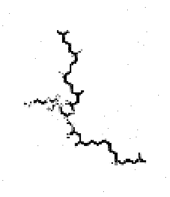 CC(C)CCC[C@@H](C)CCC[C@@H](C)CCCC(C)CC(=O)OC[C@H](COP(=O)(O)OCCN)OC(=O)CC(C)CCC[C@H](C)CCC[C@H](C)CCCC(C)C